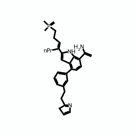 C=C(N)c1ccc(-c2cccc(CCC3=NC=CC3)c2)c2cc(/C(=C/CCP(=C)(C)C)CCC)[nH]c12